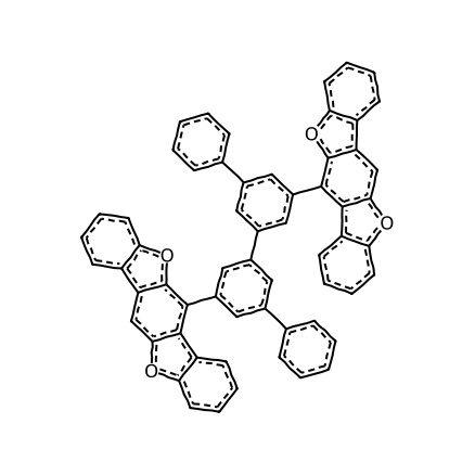 c1ccc(-c2cc(-c3cc(-c4ccccc4)cc(-c4c5oc6ccccc6c5cc5oc6ccccc6c45)c3)cc(-c3c4oc5ccccc5c4cc4oc5ccccc5c34)c2)cc1